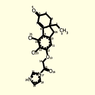 CCC12CCC(=O)C=C1c1c(cc(OCC(=O)n3ccnc3)c(Cl)c1Cl)C2